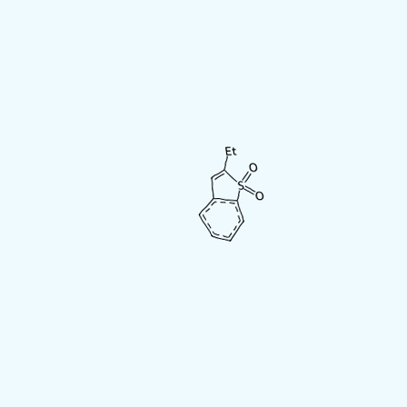 CCC1=Cc2ccccc2S1(=O)=O